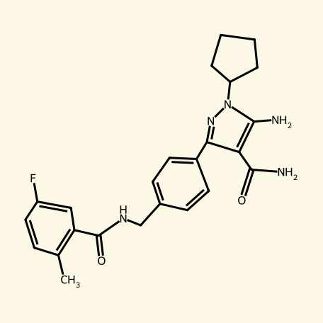 Cc1ccc(F)cc1C(=O)NCc1ccc(-c2nn(C3CCCC3)c(N)c2C(N)=O)cc1